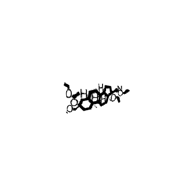 CCOC(C)OC1(C#N)CC[C@H]2[C@@H]3CC[C@@H]4C[C@@](COC)(OC(C)OCC)CC[C@]4(C)[C@H]3CC[C@@]21C